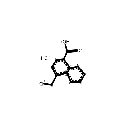 Cl.O=C(O)c1ccc(CCl)c2ccccc12